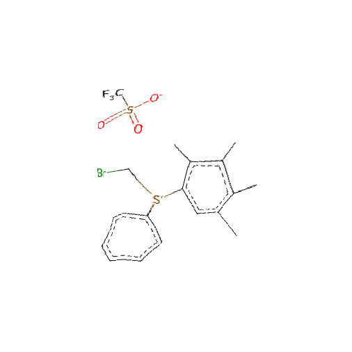 Cc1cc([S+](CBr)c2ccccc2)c(C)c(C)c1C.O=S(=O)([O-])C(F)(F)F